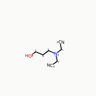 N#CCN(CC#N)CCCO